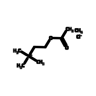 C.CC(=O)OCC[N+](C)(C)C.[Cl-]